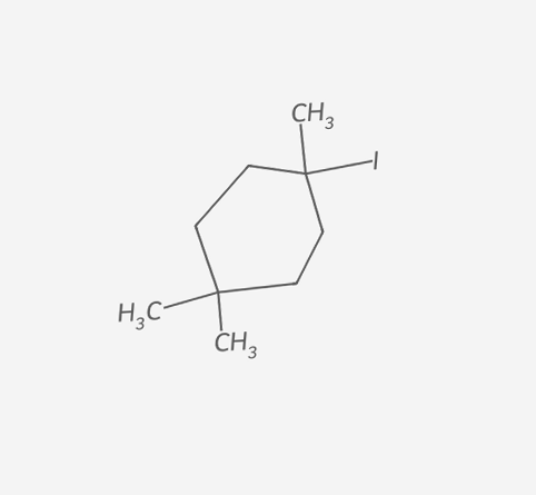 CC1(C)CCC(C)(I)CC1